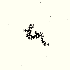 COc1cc(C(=O)N(C)CCCC(C)(C)[Si](C)(C)O)cnc1-c1cc2ncc(C(C)C)c(-c3ccc(OC4CCOCC4)c(C#N)n3)c2o1